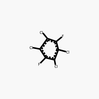 Fc1c(Cl)c(Cl)c(F)c(Cl)c1Cl